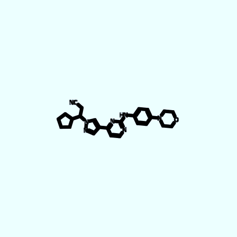 N#CCC(C1CCCC1)n1cc(-c2ccnc(Nc3ccc(N4CCOCC4)cc3)n2)cn1